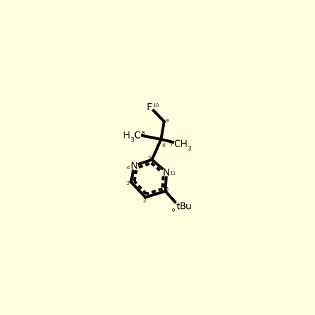 CC(C)(C)c1ccnc(C(C)(C)CF)n1